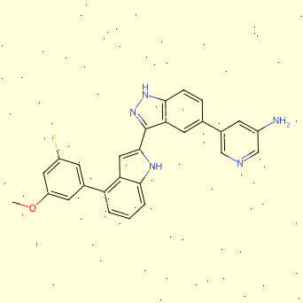 COc1cc(F)cc(-c2cccc3[nH]c(-c4n[nH]c5ccc(-c6cncc(N)c6)cc45)cc23)c1